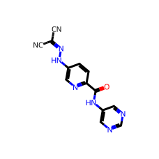 N#CC(C#N)=NNc1ccc(C(=O)Nc2cncnc2)nc1